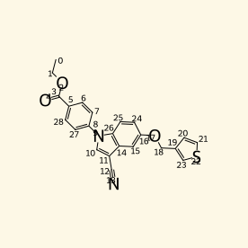 CCOC(=O)c1ccc(-n2cc(C#N)c3cc(OCc4ccsc4)ccc32)cc1